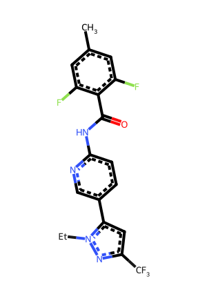 CCn1nc(C(F)(F)F)cc1-c1ccc(NC(=O)c2c(F)cc(C)cc2F)nc1